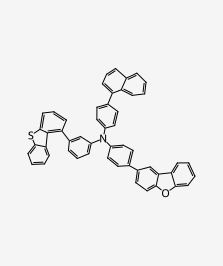 c1cc(-c2cccc3sc4ccccc4c23)cc(N(c2ccc(-c3ccc4oc5ccccc5c4c3)cc2)c2ccc(-c3cccc4ccccc34)cc2)c1